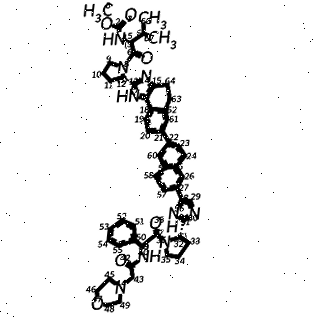 COC(=O)N[C@H](C(=O)N1CCC[C@H]1c1nc2c([nH]1)-c1ccc(-c3ccc4cc(-c5cnc([C@@H]6CCCN6C(=O)[C@H](NC(=O)CN6CCOCC6)c6ccccc6)[nH]5)ccc4c3)cc1CC2)C(C)C